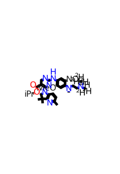 [2H]C([2H])([2H])N(CCN(C)c1cc(OC)c(Nc2ncc(C(=O)OC(C)C)c(N3CC(C)(C)c4nc(C)ccc43)n2)cc1[N+](=O)[O-])C([2H])([2H])[2H]